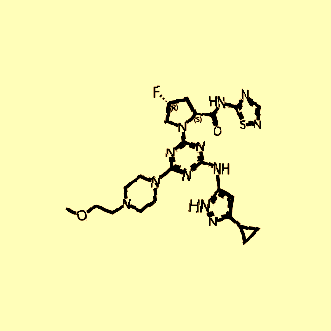 COCCN1CCN(c2nc(Nc3cc(C4CC4)n[nH]3)nc(N3C[C@H](F)C[C@H]3C(=O)Nc3ncns3)n2)CC1